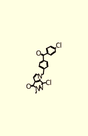 Cn1nc(Cl)c2c(ccn2Cc2ccc(C(=O)c3ccc(Cl)cc3)cc2)c1=O